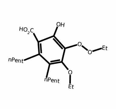 CCCCCc1c(CCCCC)c(C(=O)O)c(O)c(OOCC)c1OCC